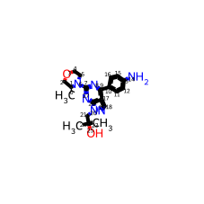 C[C@@H]1COCCN1c1nc(-c2ccc(N)cc2)c2cnn(CC(C)(C)O)c2n1